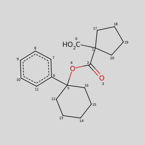 O=C(O)C1(C(=O)OC2(c3ccccc3)CCCCC2)CCCC1